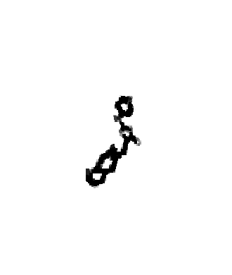 O=C1N=C(Nc2ccncc2)S/C1=C\c1ccc2ncccc2c1